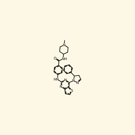 CN1CCC(NC(=O)c2ccc(Nc3nc(N4N=CCC4c4ccccc4)c4sccc4n3)cc2)CC1